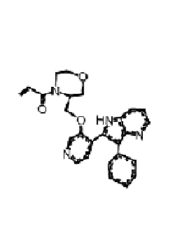 C=CC(=O)N1CCOCC1COc1cnccc1-c1[nH]c2cccnc2c1-c1ccccc1